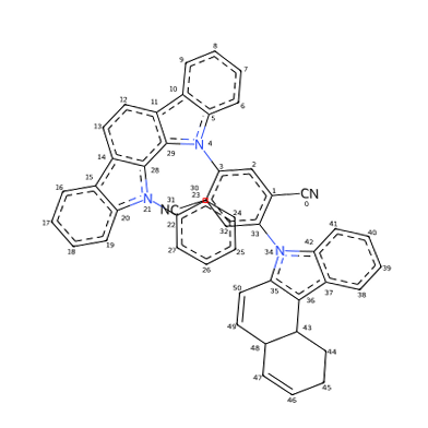 N#Cc1cc(-n2c3ccccc3c3ccc4c5ccccc5n(-c5ccccc5)c4c32)c(C#N)cc1-n1c2c(c3ccccc31)C1CCC=CC1C=C2